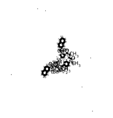 CN(CC(=O)N(C)c1ccc(C(C)(C)O[SiH2]C(C)(C)C)cc1)C(=O)[C@@H]1C[C@@H](SS[C@@H]2C[C@@H](C(=O)O)N(S(=O)(=O)c3ccc4ccccc4c3)C2)CN1S(=O)(=O)c1ccc2ccccc2c1